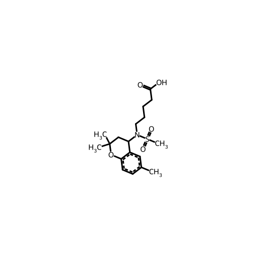 Cc1ccc2c(c1)C(N(CCCCC(=O)O)S(C)(=O)=O)CC(C)(C)O2